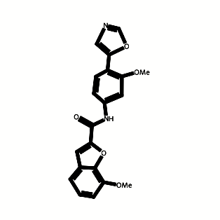 COc1cc(NC(=O)c2cc3cccc(OC)c3o2)ccc1-c1cnco1